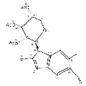 CC(=O)O[C@@H]1[C@H](OC(C)=O)[C@H](OC(C)=O)CO[C@H]1n1c(Br)nc2cc(Cl)c(C)cc21